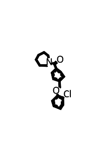 O=C(c1ccc(COc2ccccc2Cl)cc1)N1CCCCCC1